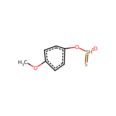 COc1ccc(O[SH](=O)=S)cc1